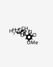 C/C=C1/OB(c2cc(OC)cc(Cl)c2Cl)OC1(C)C